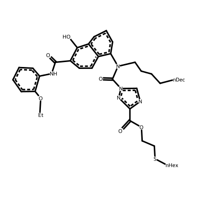 CCCCCCCCCCCCCCN(C(=O)n1cnc(C(=O)OCCSCCCCCC)n1)c1cccc2c(O)c(C(=O)Nc3ccccc3OCC)ccc12